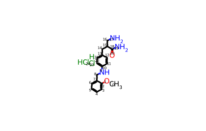 COc1ccccc1CNc1ccc(CC(CN)C(N)=O)cc1.Cl.Cl